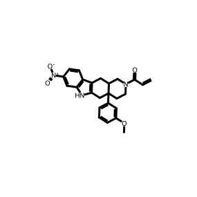 C=CC(=O)N1CCC2(c3cccc(OC)c3)Cc3[nH]c4cc([N+](=O)[O-])ccc4c3CC2C1